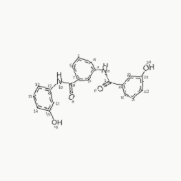 O=C(Nc1cccc(C(=O)Nc2cccc(O)c2)c1)c1cccc(O)c1